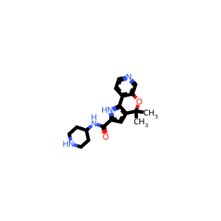 CC1(C)Oc2cnccc2-c2[nH]c(C(=O)NC3CCNCC3)cc21